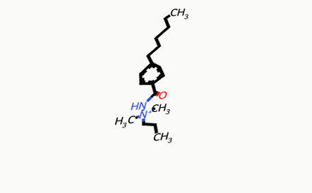 CCCCCCc1ccc(C(=O)N[N+](C)(C)CCC)cc1